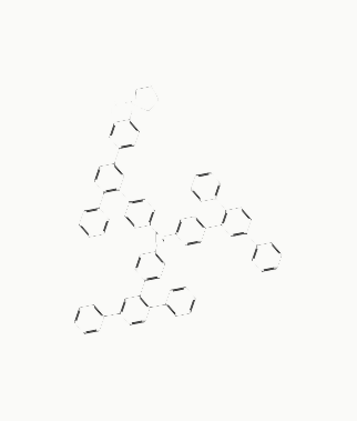 C[Si]1(c2ccc(-c3ccc(-c4ccccc4)c(-c4ccc(N(c5ccc(-c6cc(-c7ccccc7)ccc6-c6ccccc6)cc5)c5ccc(-c6cc(-c7ccccc7)ccc6-c6ccccc6)cc5)cc4)c3)cc2)CCCC1